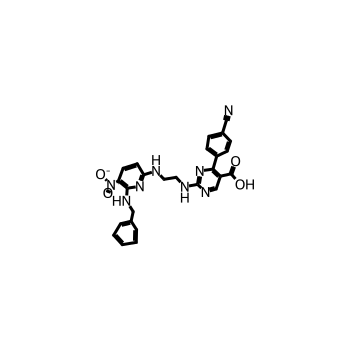 N#Cc1ccc(-c2nc(NCCNc3ccc([N+](=O)[O-])c(NCc4ccccc4)n3)ncc2C(=O)O)cc1